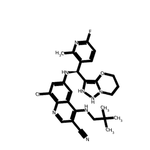 Cc1nc(F)ccc1[C@H](Nc1cc(Cl)c2ncc(C#N)c(NCC(C)(C)C)c2c1)C1=C2OCCCN2NN1